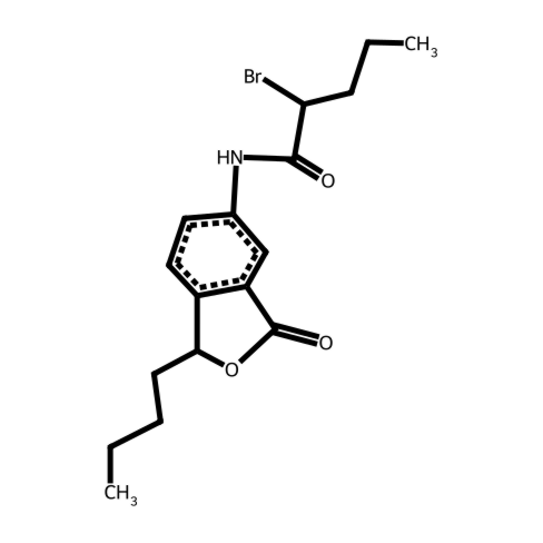 CCCCC1OC(=O)c2cc(NC(=O)C(Br)CCC)ccc21